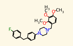 COc1ccc(CN2CCN(c3ccc(Cc4ccc(F)cc4)cc3)CC2)c(OC)c1OC